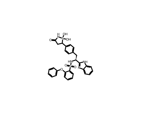 O=C1CC(c2ccc(C[C@H](NS(=O)(=O)c3ccccc3Oc3ccccc3)c3nc4ccccc4[nH]3)cc2)S(O)(O)N1